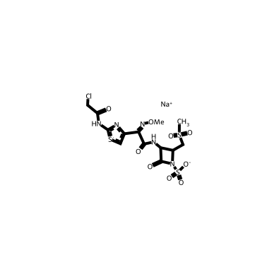 CON=C(C(=O)NC1C(=O)N(S(=O)(=O)[O-])C1CS(C)(=O)=O)c1csc(NC(=O)CCl)n1.[Na+]